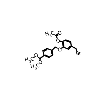 COC(OC)c1ccc(COc2cc(CBr)ccc2OC(C)=O)cc1